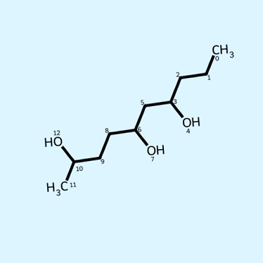 CCCC(O)CC(O)CCC(C)O